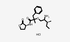 CC[C@H](C)C(N)COC(C)(Cc1ccccc1)C(=O)N[C@H]1CCOC1=O.Cl